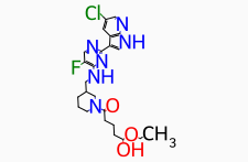 CCOC(O)CCCC(=O)N1CCCC(CNc2nc(-c3c[nH]c4ncc(Cl)cc34)ncc2F)C1